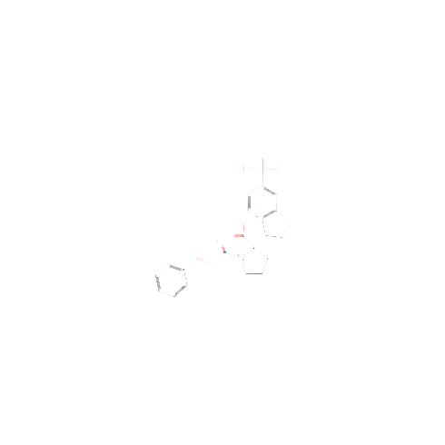 O=C(OCc1ccccc1)N1CCC[C@@]1(C(=O)O)C1CCc2cc(C(F)(F)F)ccc21